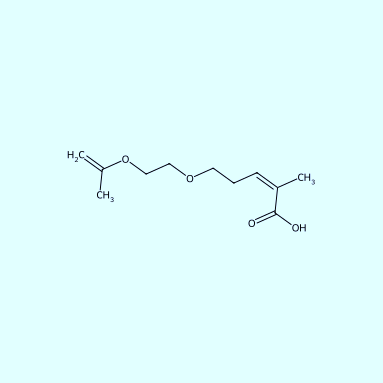 C=C(C)OCCOCCC=C(C)C(=O)O